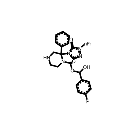 CCCn1ncn(C2(c3ccccc3)CNCCN2C(=O)OC(O)c2ccc(F)cc2)c1=O